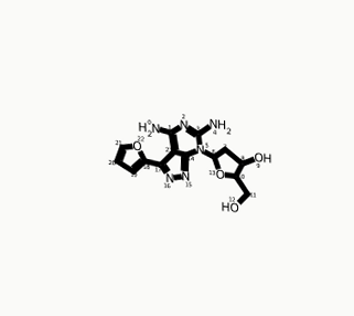 Nc1nc(N)n(C2CC(O)C(CO)O2)c2nnc(-c3ccco3)c1-2